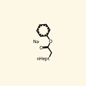 CCCCCCCCC(=O)Oc1ccccc1.[Na]